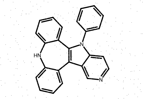 c1ccc(-n2c3c(c4cnccc42)-c2ccccc2Nc2ccccc2-3)cc1